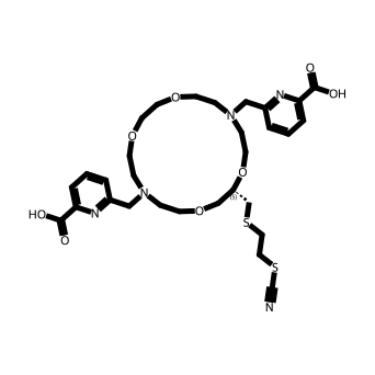 N#CSCCSC[C@@H]1COCCN(Cc2cccc(C(=O)O)n2)CCOCCOCCN(Cc2cccc(C(=O)O)n2)CCO1